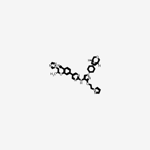 C[C@@H](Cn1cncn1)Oc1cc(-c2cnc(Nc3cn([C@H]4CC[C@H](N5[C@@H]6CC[C@H]5COC6)CC4)nc3OCCn3cccn3)nc2)ccc1C#N